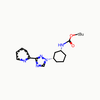 CC(C)(C)OC(=O)N[C@@H]1CCC[C@H](n2cnc(-c3ccccn3)n2)C1